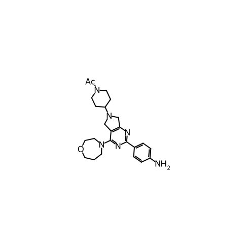 CC(=O)N1CCC(N2Cc3nc(-c4ccc(N)cc4)nc(N4CCCOCC4)c3C2)CC1